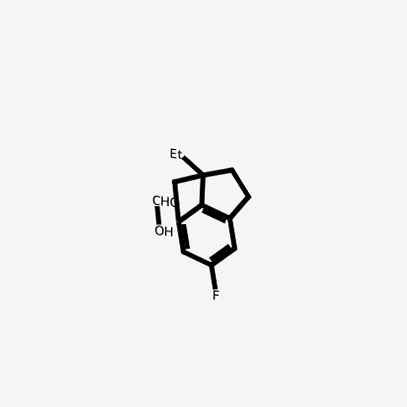 CCC12CCc3cc(F)cc(c31)C2.O=CO